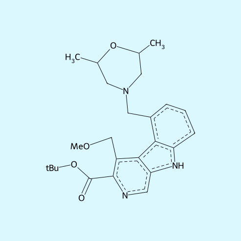 COCc1c(C(=O)OC(C)(C)C)ncc2[nH]c3cccc(CN4CC(C)OC(C)C4)c3c12